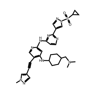 CN(C)CC1CCC(Nc2cc(Nc3ccnc(-c4cnn(S(=O)(=O)C5CC5)c4)n3)ncc2C#Cc2cnn(C)c2)CC1